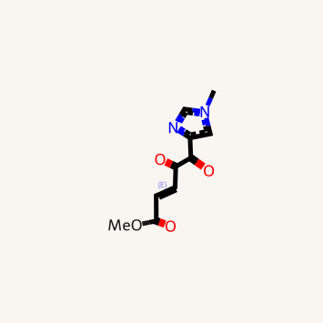 COC(=O)/C=C/C(=O)C(=O)c1cn(C)cn1